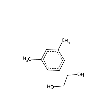 Cc1cccc(C)c1.OCCO